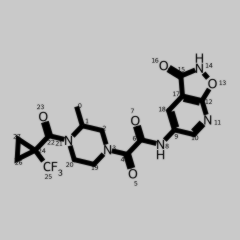 CC1CN(C(=O)C(=O)Nc2cnc3o[nH]c(=O)c3c2)CCN1C(=O)C1(C(F)(F)F)CC1